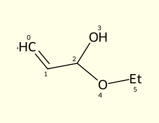 [CH]=CC(O)OCC